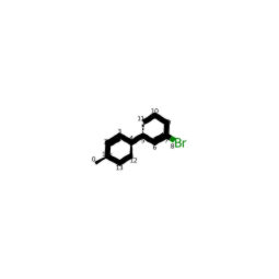 C[C@H]1C=C[C@@H]([C@H]2C=C(Br)CCC2)CC1